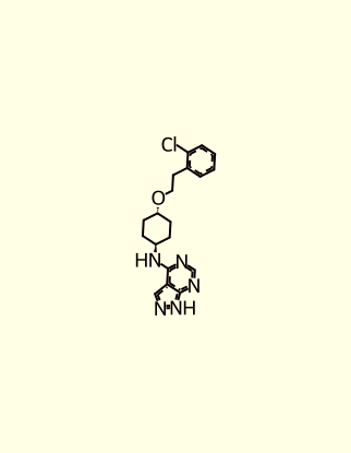 Clc1ccccc1CCO[C@H]1CC[C@H](Nc2ncnc3[nH]ncc23)CC1